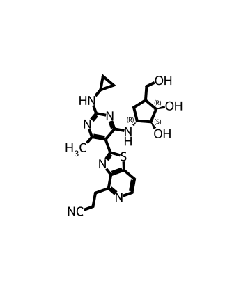 Cc1nc(NC2CC2)nc(N[C@@H]2CC(CO)[C@@H](O)[C@H]2O)c1-c1nc2c(CCC#N)nccc2s1